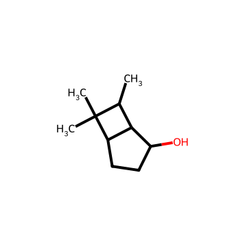 CC1C2C(O)CCC2C1(C)C